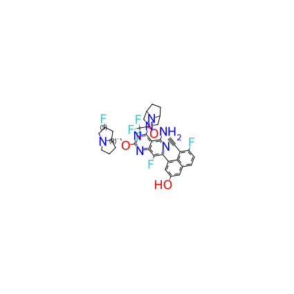 C#Cc1c(F)ccc2cc(O)cc(-c3nc(N)c4c(N5CC6CCC(C5)N6C(=O)C(F)(F)F)nc(OC[C@]56CCCN5C[C@@H](F)C6)nc4c3F)c12